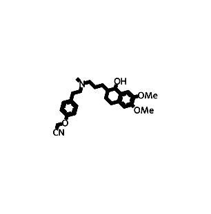 COc1cc2c(cc1OC)C(O)C(CCCN(C)CCc1ccc(OCC#N)cc1)CC2